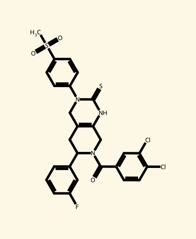 CS(=O)(=O)c1ccc(N2CC3=C(CN(C(=O)c4ccc(Cl)c(Cl)c4)C(c4cccc(F)c4)C3)NC2=S)cc1